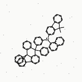 CC1(C)c2ccccc2-c2ccc(N(c3cccc(C4(c5ccccc5)c5ccccc5C5(c6ccccc6)c6ccccc6-c6cccc4c65)c3)c3cccc4ccccc34)cc21